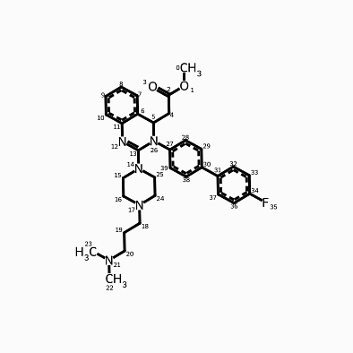 COC(=O)CC1c2ccccc2N=C(N2CCN(CCCN(C)C)CC2)N1c1ccc(-c2ccc(F)cc2)cc1